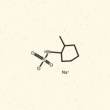 CC1CCCCC1NS(=O)(=O)[O-].[Na+]